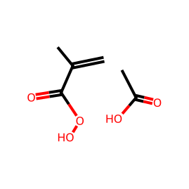 C=C(C)C(=O)OO.CC(=O)O